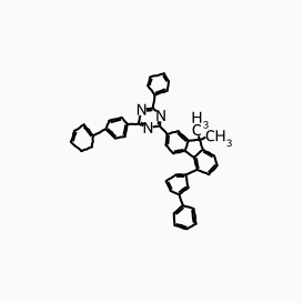 CC1(C)c2cc(-c3nc(-c4ccccc4)nc(-c4ccc(C5=CC=CCC5)cc4)n3)ccc2-c2c(-c3cccc(-c4ccccc4)c3)cccc21